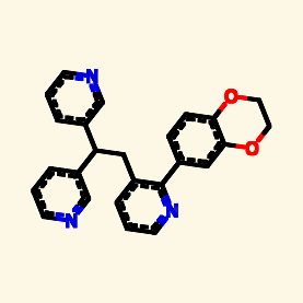 c1cncc(C(Cc2cccnc2-c2ccc3c(c2)OCCO3)c2cccnc2)c1